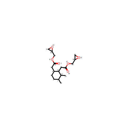 CC1CCC(CC(=O)OCC2CO2)C(CC(=O)OCC2CO2)C1C